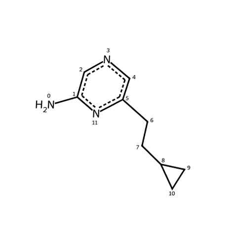 Nc1cncc(CCC2CC2)n1